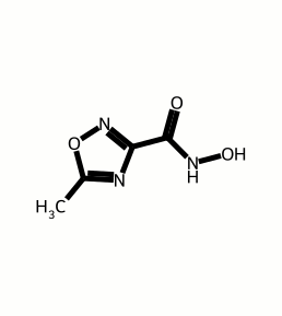 Cc1nc(C(=O)NO)no1